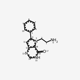 NCCn1c(-c2ccccc2)cc2nc[nH]c(=O)c21